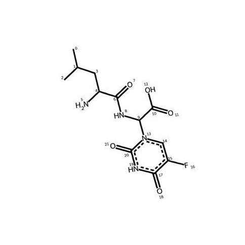 CC(C)CC(N)C(=O)NC(C(=O)O)n1cc(F)c(=O)[nH]c1=O